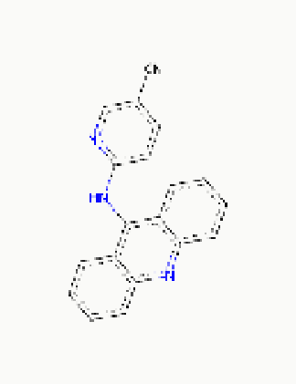 N#Cc1ccc(Nc2c3ccccc3nc3ccccc23)nc1